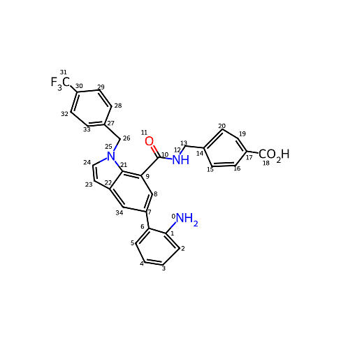 Nc1ccccc1-c1cc(C(=O)NCc2ccc(C(=O)O)cc2)c2c(ccn2Cc2ccc(C(F)(F)F)cc2)c1